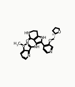 Cn1nc(Nc2c(-c3ccncc3OC[C@@H]3CCCO3)[nH]c3c2C(=O)NCC3)c2ncccc21